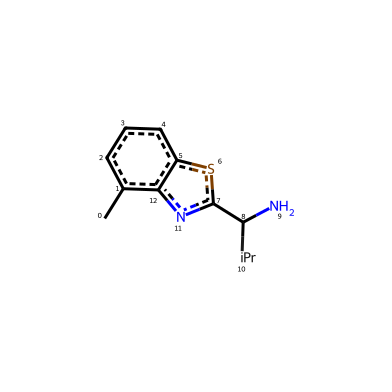 Cc1cccc2sc(C(N)C(C)C)nc12